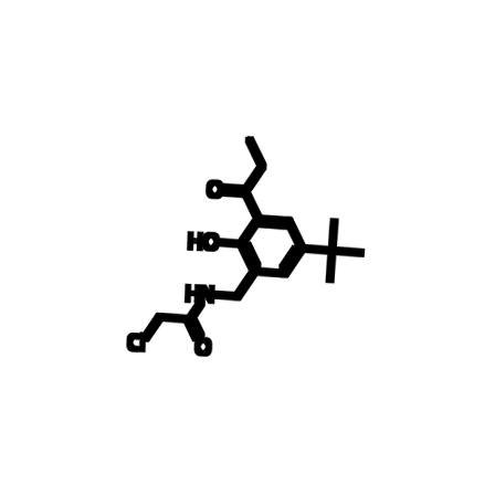 CCC(=O)c1cc(C(C)(C)C)cc(CNC(=O)CCl)c1O